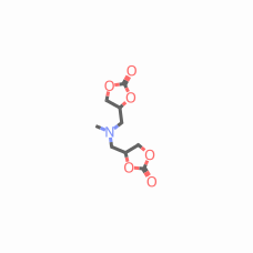 CN(CC1COC(=O)O1)CC1COC(=O)O1